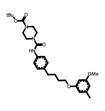 COc1cc(C)cc(OCCCCc2ccc(NC(=O)N3CCN(C(=O)OC(C)(C)C)CC3)cc2)c1